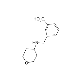 O=C(O)c1cccc(CNC2CCOCC2)c1